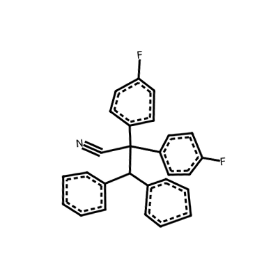 N#CC(c1ccc(F)cc1)(c1ccc(F)cc1)C(c1ccccc1)c1ccccc1